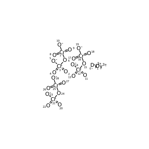 [Dy+3].[Dy+3].[O]=[Cr](=[O])([O-])[O][Cr](=[O])(=[O])[O-].[O]=[Cr](=[O])([O-])[O][Cr](=[O])(=[O])[O-].[O]=[Cr](=[O])([O-])[O][Cr](=[O])(=[O])[O-]